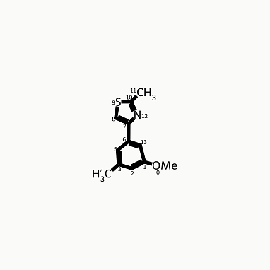 COc1cc(C)cc(-c2csc(C)n2)c1